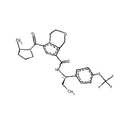 CC[C@@H](NC(=O)c1cc(C(=O)N2CCCC2C)n2c1COCC2)c1ccc(SC(F)(F)F)cc1